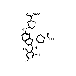 CNC(=O)N1CCC[C@@H](Nc2ncc3nc(Nc4c(Cl)cc(Cl)cc4Cl)n([C@H]4CC[C@@H](C(N)=O)CC4)c3n2)C1